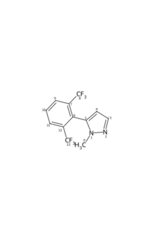 Cn1n[c]cc1-c1c(C(F)(F)F)cccc1C(F)(F)F